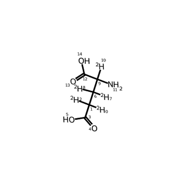 [2H]C([2H])(C(=O)O)C([2H])([2H])C([2H])(N)C(=O)O